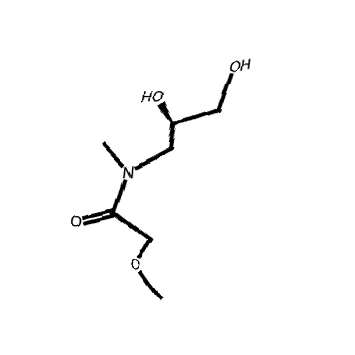 COCC(=O)N(C)C[C@@H](O)CO